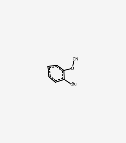 CC(C)(C)c1ccccc1OC#N